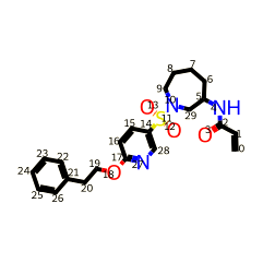 C=CC(=O)NC1CCCCN(S(=O)(=O)c2ccc(OCCc3ccccc3)nc2)C1